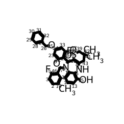 Cc1ccc(F)c(C(=O)N2c3cccc(O)c3NC3=C(C2c2ccc(OCc4ccccc4)cc2F)S(=O)(=O)CC(C)(C)C3)c1